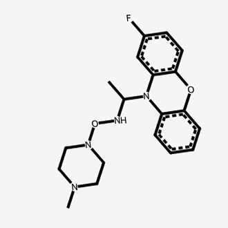 CC(NON1CCN(C)CC1)N1c2ccccc2Oc2ccc(F)cc21